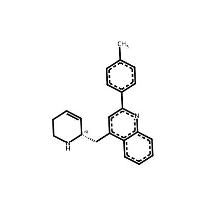 Cc1ccc(-c2cc(C[C@H]3C=CCCN3)c3ccccc3n2)cc1